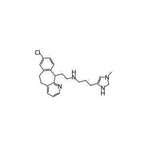 CN1C=C(CCCNCCC2c3ccc(Cl)cc3CCc3cccnc32)NC1